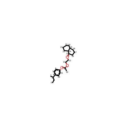 CCC(C)c1ccc(OC(C)OCCOC2CCCC3CCCCC32)cc1